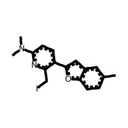 Cc1ccc2oc(-c3ccc(N(C)C)nc3CI)cc2c1